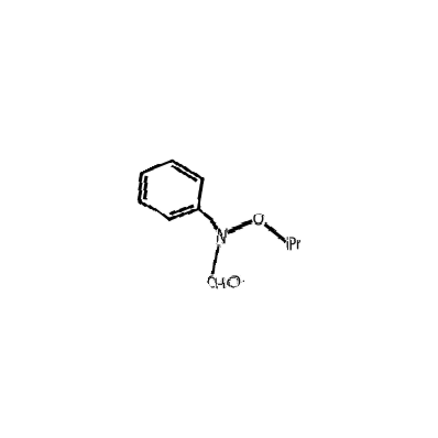 CC(C)ON([C]=O)c1ccccc1